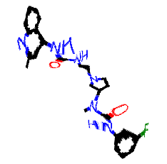 Cc1cc(NC(=O)NCCN2CCC(N(C)C(=O)Nc3cccc(F)c3)C2)c2ccccc2n1